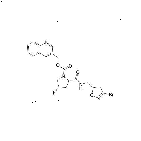 O=C(NCC1CC(Br)=NO1)[C@@H]1C[C@H](F)CN1C(=O)OCc1cnc2ccccc2c1